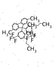 CCCCc1cc(C(F)(F)F)cc(C2(c3cc(C(F)(F)F)cc(CCCC)c3C)c3cc(C)ccc3-c3ccc(C)cc32)c1C